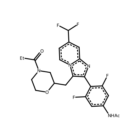 CCC(=O)N1CCOC(Cc2c(-c3c(F)cc(NC(C)=O)cc3F)nc3cc(C(F)F)ccn23)C1